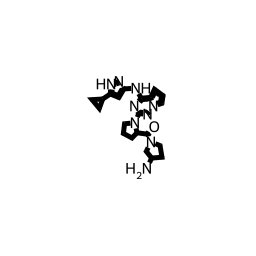 NC1CCN(C(=O)C2CCCN2c2nc(Nc3cc(C4CC4)[nH]n3)c3cccn3n2)C1